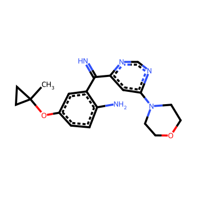 CC1(Oc2ccc(N)c(C(=N)c3cc(N4CCOCC4)ncn3)c2)CC1